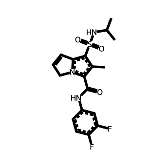 Cc1c(S(=O)(=O)NC(C)C)c2n(c1C(=O)Nc1ccc(F)c(F)c1)CC=C2